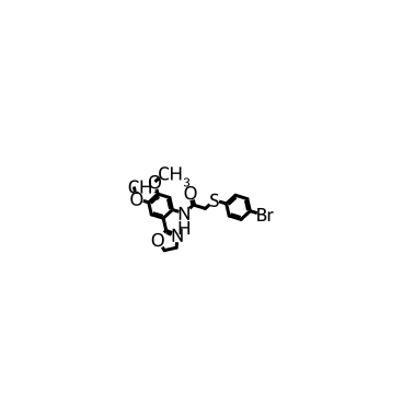 COc1cc(NC(=O)CSc2ccc(Br)cc2)c(C2=NCCO2)cc1OC